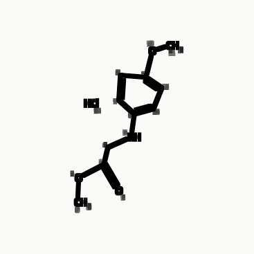 COC(=O)CNc1ccc(OC)cc1.Cl